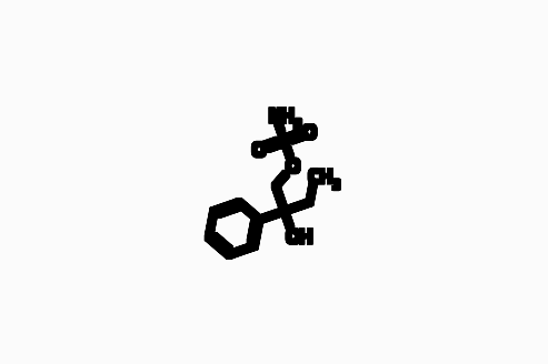 CCC(O)(COS(N)(=O)=O)c1ccccc1